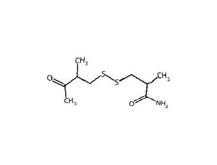 CC(=O)C(C)CSSCC(C)C(N)=O